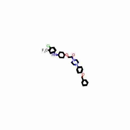 O=C(COC1CCC(Nc2ccc(Cl)c(C(F)(F)F)c2)CC1)N1CCN(c2ccc(OCc3ccccc3)cc2)CC1